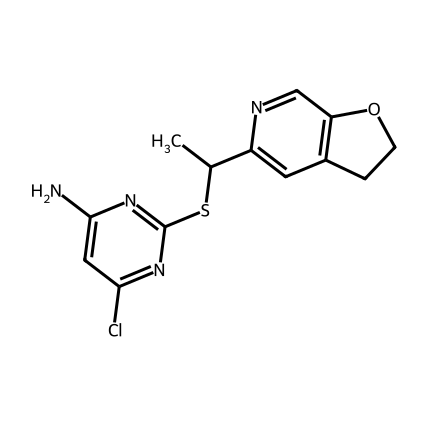 CC(Sc1nc(N)cc(Cl)n1)c1cc2c(cn1)OCC2